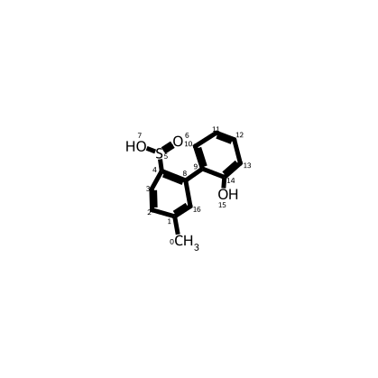 Cc1ccc(S(=O)O)c(-c2ccccc2O)c1